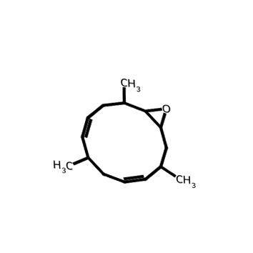 CC1C=CCC(C)C2OC2CC(C)C=CC1